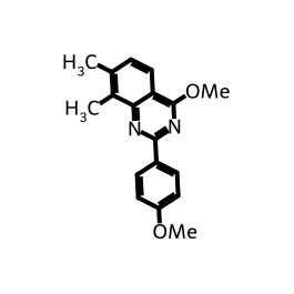 COc1ccc(-c2nc(OC)c3ccc(C)c(C)c3n2)cc1